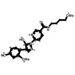 COCCCCNC(=O)c1ccc(-n2ncc(-c3ccc(C#N)cc3OC)c2O)nc1